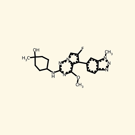 COc1nc(NC2CCC(C)(O)CC2)nn2cc(F)c(-c3ccc4nnn(C)c4c3)c12